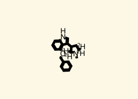 [2H]C1([2H])CC(c2c[nH]c3cccc(OCc4ccccc4)c23)C([2H])([2H])N1C